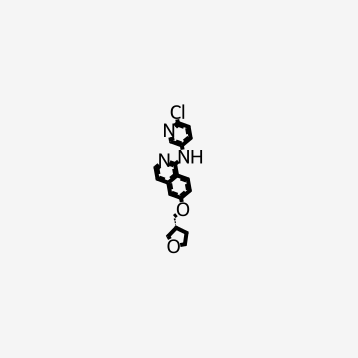 Clc1ccc(Nc2nccc3cc(OC[C@@H]4CCOC4)ccc23)cn1